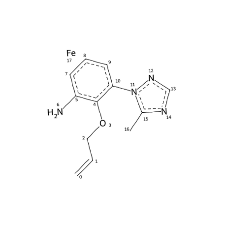 C=CCOc1c(N)cccc1-n1ncnc1C.[Fe]